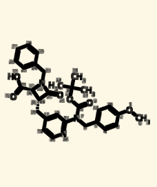 COc1ccc(CN(C(=O)OC(C)(C)C)c2cc(C[C@H]3C(=O)N(Cc4ccccc4)[C@@H]3C(=O)O)ccn2)cc1